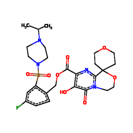 CC(C)N1CCN(S(=O)(=O)c2cc(F)ccc2COC(=O)c2nc3n(c(=O)c2O)CCOC32CCOCC2)CC1